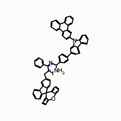 NC(/N=C(/c1ccccc1)[C@@H](I)Cc1ccc2c(c1)-c1ccccc1C21c2ccccc2Oc2ccccc21)c1ccc(-c2ccc3c4ccccc4n(-c4ccc5c6ccccc6c6ccccc6c5c4)c3c2)cc1